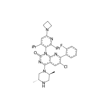 CC(C)c1cc(N2CCC2)nc(C(C)C)c1-n1c(=O)nc(N2C[C@@H](C)NC[C@@H]2C)c2cc(Cl)c(-c3ccccc3F)nc21